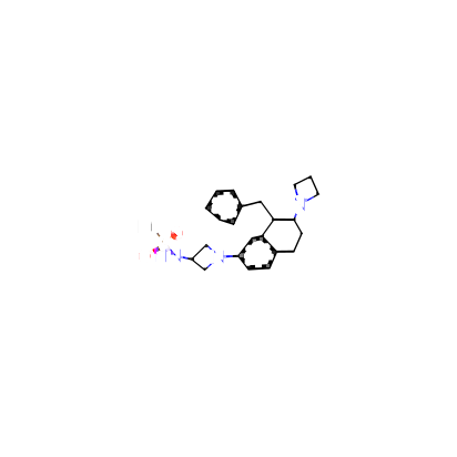 CCS(=O)(=O)NC1CN(c2ccc3c(c2)C(Cc2ccccc2)C(N2CCC2)CC3)C1